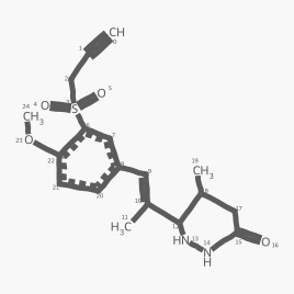 C#CCS(=O)(=O)c1cc(/C=C(\C)C2NNC(=O)CC2C)ccc1OC